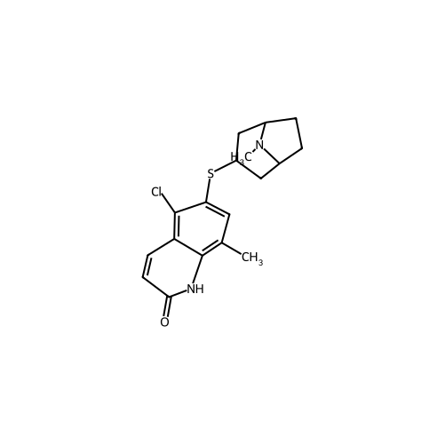 Cc1cc(SC2CC3CCC(C2)N3C)c(Cl)c2ccc(=O)[nH]c12